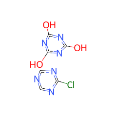 Clc1ncncn1.Oc1nc(O)nc(O)n1